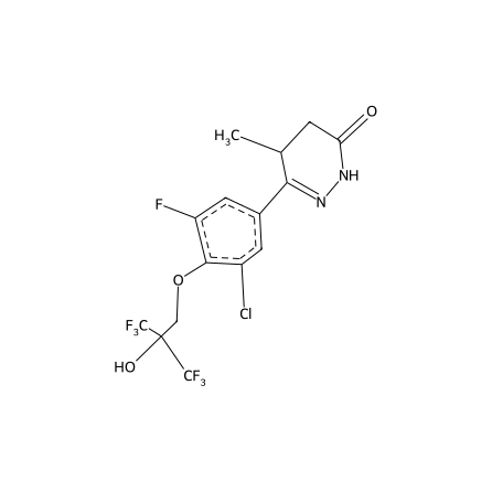 CC1CC(=O)NN=C1c1cc(F)c(OCC(O)(C(F)(F)F)C(F)(F)F)c(Cl)c1